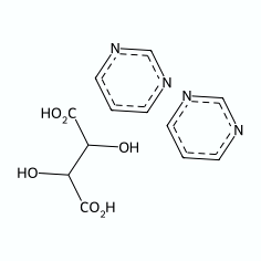 O=C(O)C(O)C(O)C(=O)O.c1cncnc1.c1cncnc1